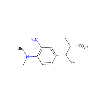 CC(C)C(c1ccc(N(C)C(C)(C)C)c(N)c1)C(C)C(=O)O